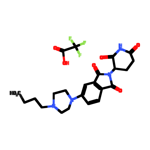 O=C(O)C(F)(F)F.O=C(O)CCCN1CCN(c2ccc3c(c2)C(=O)N(C2CCC(=O)NC2=O)C3=O)CC1